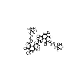 CC1(CCCOC(=O)c2c(Cl)c(Cl)cc(Cl)c2OC(=O)C(=O)Oc2c(Cl)cc(Cl)c(Cl)c2C(=O)OCCCC2(C)CC2)CC1